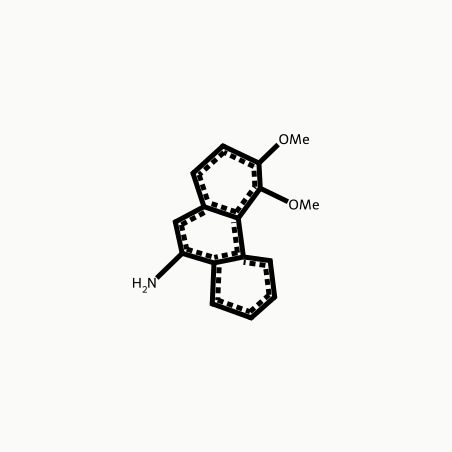 COc1ccc2cc(N)c3ccccc3c2c1OC